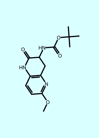 COc1ccc2c(n1)CC(NC(=O)OC(C)(C)C)C(=O)N2